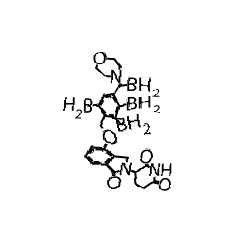 Bc1cc(C(B)N2CCOCC2)c(B)c(B)c1COc1cccc2c1CN(C1CCC(=O)NC1=O)C2=O